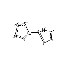 C1=C[N]C(c2cnns2)=C1